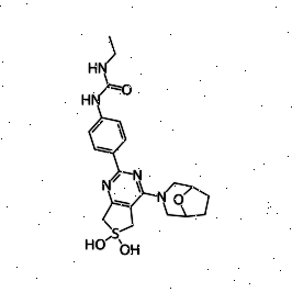 CCNC(=O)Nc1ccc(-c2nc3c(c(N4CC5CCC(C4)O5)n2)CS(O)(O)C3)cc1